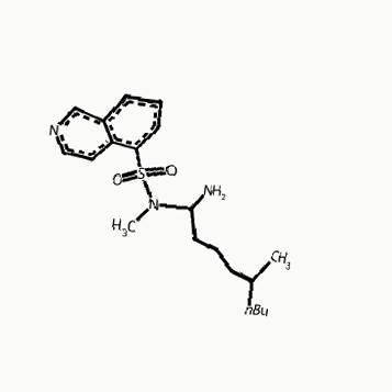 CCCCC(C)CCCC(N)N(C)S(=O)(=O)c1cccc2cnccc12